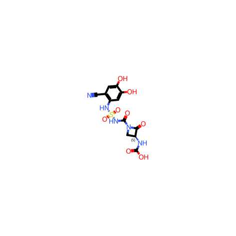 N#Cc1cc(O)c(O)cc1NS(=O)(=O)NC(=O)N1C[C@H](NC(=O)O)C1=O